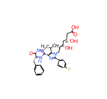 CC(C)c1c(C(=O)N[C@H](Cc2ccccc2)C(N)=O)nc(-c2ccc(F)cc2)n1CC[C@@H](O)C[C@@H](O)CC(=O)O